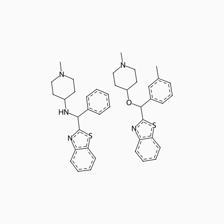 CN1CCC(NC(c2ccccc2)c2nc3ccccc3s2)CC1.Cc1cccc(C(OC2CCN(C)CC2)c2nc3ccccc3s2)c1